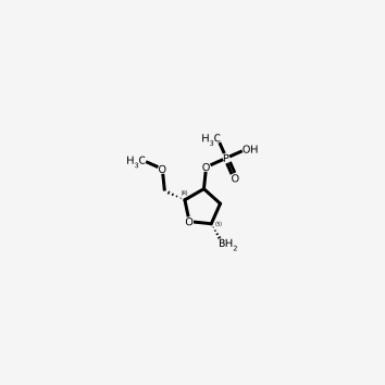 B[C@H]1CC(OP(C)(=O)O)[C@@H](COC)O1